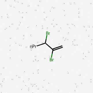 C=C(Br)C(Br)CCC